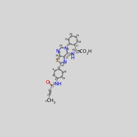 CC#CC(=O)Nc1ccc(-c2nc3c(N[C@H](C(=O)O)c4ccccc4)ncnc3s2)cc1